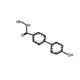 CCCCNC(=O)c1ccc(-c2ccc(O)cc2)cc1